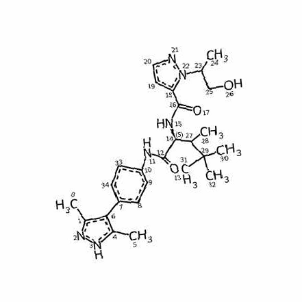 Cc1n[nH]c(C)c1-c1ccc(NC(=O)[C@@H](NC(=O)c2ccnn2C(C)CO)C(C)C(C)(C)C)cc1